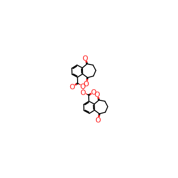 O=C1CCCC(=O)c2c1cccc2C(=O)OOC(=O)c1cccc2c1C(=O)CCCC2=O